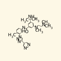 Cc1ccc(NC(=O)c2cc(N(C)CCN(C)C)cc(C(C)(C)N)c2)cc1-n1cc(-c2cncnc2)nn1